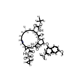 COc1ccc2c(O[C@@H]3C[C@H]4C(=O)N[C@]5(C(=O)NS(=O)(=O)C6(C)CC6)CC5/C=C\CC[C@H](C)C[C@@H](C)[C@H](NC(=O)OC(C)(C)C)C(=O)N4C3)nc(N(C)C)nc2c1